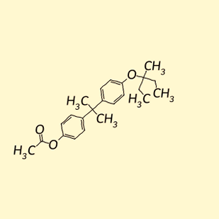 CCC(C)(CC)Oc1ccc(C(C)(C)c2ccc(OC(C)=O)cc2)cc1